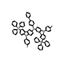 Fc1ccc(-n2c3ccc(N(c4ccc(-c5ccccc5)cc4)c4ccc5c(c4)c4cc([Si](c6ccccc6)(c6ccccc6)c6ccccc6)ccc4n5-c4ccc(F)cc4)cc3c3cc([Si](c4ccccc4)(c4ccccc4)c4ccccc4)ccc32)cc1